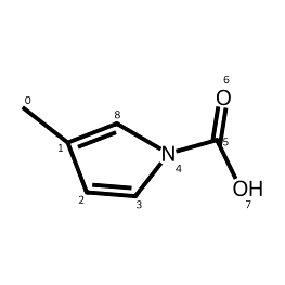 Cc1ccn(C(=O)O)c1